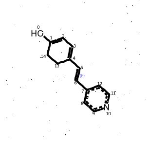 OC1=CC=C(/C=C/c2ccncc2)CC1